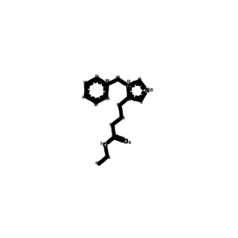 CCOC(=O)CCCc1cncn1Cc1ccccc1